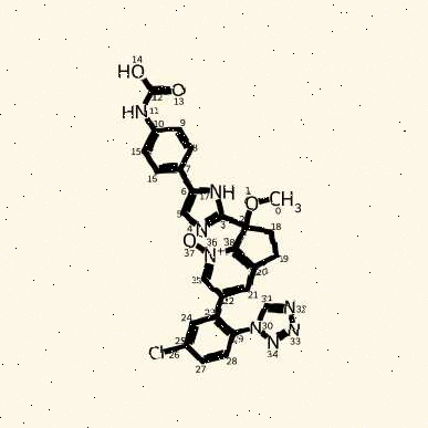 COC1(c2ncc(-c3ccc(NC(=O)O)cc3)[nH]2)CCc2cc(-c3cc(Cl)ccc3-n3cnnn3)c[n+]([O-])c21